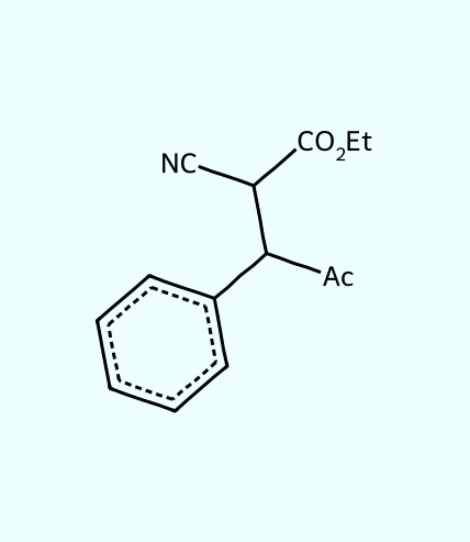 CCOC(=O)C(C#N)C(C(C)=O)c1ccccc1